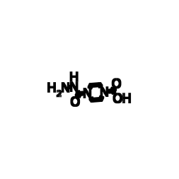 NNC(=O)N1CCN(C(=O)O)CC1